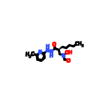 CCCCC[C@H](CN(O)C=O)C(=O)NNc1cccc(C)n1